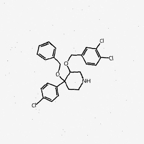 Clc1ccc(C2(OCc3ccccc3)CCNCC2OCc2ccc(Cl)c(Cl)c2)cc1